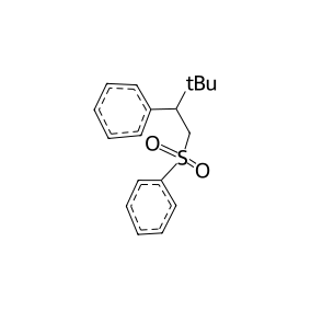 CC(C)(C)C(CS(=O)(=O)c1ccccc1)c1ccccc1